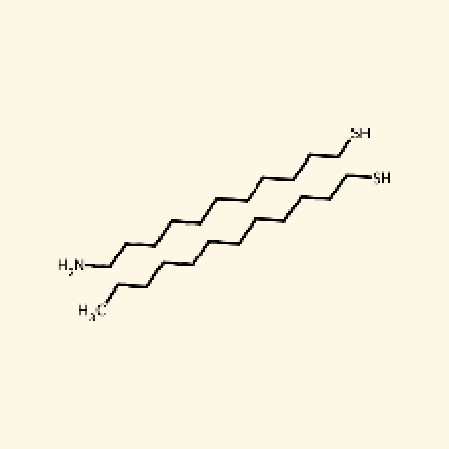 CCCCCCCCCCCCS.NCCCCCCCCCCCS